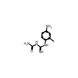 N=C(NC(N)=O)Nc1ccc([N+](=O)[O-])cc1I